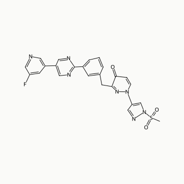 CS(=O)(=O)n1cc(-n2ccc(=O)c(Cc3cccc(-c4ncc(-c5cncc(F)c5)cn4)c3)n2)cn1